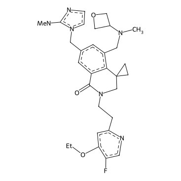 CCOc1cc(CCN2CC3(CC3)c3c(CN(C)C4COC4)cc(Cn4ccnc4NC)cc3C2=O)ncc1F